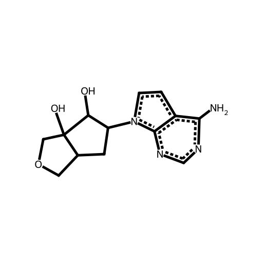 Nc1ncnc2c1ccn2C1CC2COCC2(O)C1O